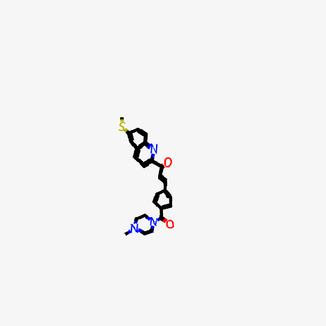 CSc1ccc2nc(C(=O)C=Cc3ccc(C(=O)N4CCN(C)CC4)cc3)ccc2c1